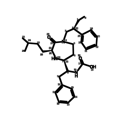 CC[C@H](CN1CC[C@@H](C(Cc2ccccc2)NC(=O)O)N[C@@H](CCC(C)C)C1=O)c1ccccc1